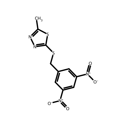 Cc1nnc(SCc2cc([N+](=O)[O-])cc([N+](=O)[O-])c2)s1